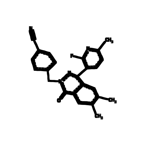 Cc1ccc(-c2nn(Cc3ccc(C#N)cc3)c(=O)c3cc(C)c(C)cc23)c(F)n1